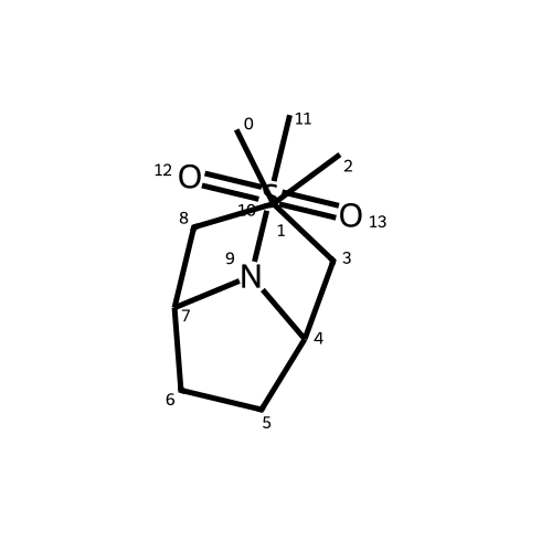 CC1(C)CC2CCC(C1)N2S(C)(=O)=O